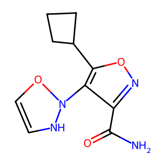 NC(=O)c1noc(C2CCC2)c1N1NC=CO1